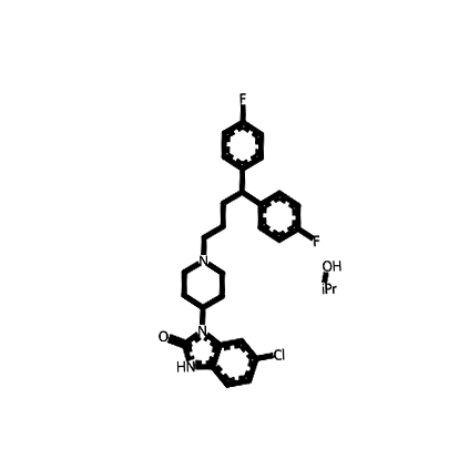 CC(C)O.O=c1[nH]c2ccc(Cl)cc2n1C1CCN(CCCC(c2ccc(F)cc2)c2ccc(F)cc2)CC1